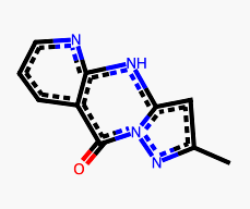 Cc1cc2[nH]c3ncccc3c(=O)n2n1